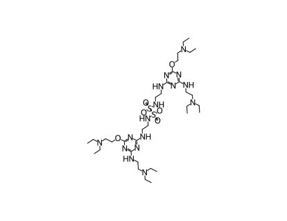 CCN(CC)CCNc1nc(NCCNS(=O)(=O)S(=O)(=O)NCCNc2nc(NCCN(CC)CC)nc(OCCN(CC)CC)n2)nc(OCCN(CC)CC)n1